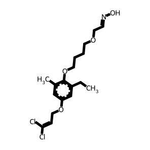 CCc1cc(OCC=C(Cl)Cl)cc(C)c1OCCCCOC/C=N/O